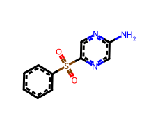 Nc1cnc(S(=O)(=O)c2ccccc2)cn1